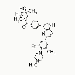 CCc1cc(-c2cnc3[nH]cc(-c4ccc(C(=O)N(C)CC(C)(C)O)cc4)c3n2)cc(C)c1N1CCN(C)CC1